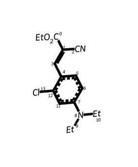 CCOC(=O)C(C#N)=Cc1ccc(N(CC)CC)cc1Cl